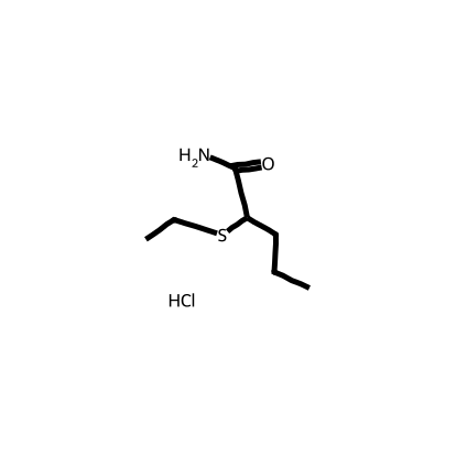 CCCC(SCC)C(N)=O.Cl